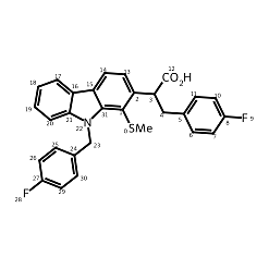 CSc1c(C(Cc2ccc(F)cc2)C(=O)O)ccc2c3ccccc3n(Cc3ccc(F)cc3)c12